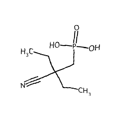 CCC(C#N)(CC)CP(=O)(O)O